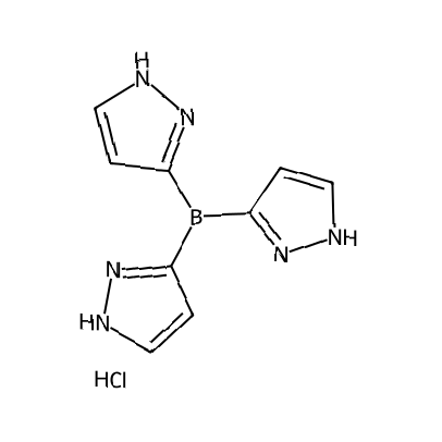 Cl.c1cc(B(c2cc[nH]n2)c2cc[nH]n2)n[nH]1